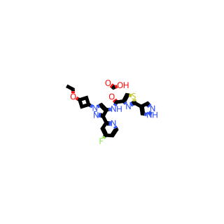 CCOC1CC(n2cc(NC(=O)c3csc(-c4cn[nH]c4)n3)c(-c3cc(F)ccn3)n2)C1.O=CO